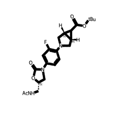 CC(=O)NC[C@H]1CN(c2ccc(N3C[C@@H]4C(C(=O)OC(C)(C)C)[C@@H]4C3)c(F)c2)C(=O)O1